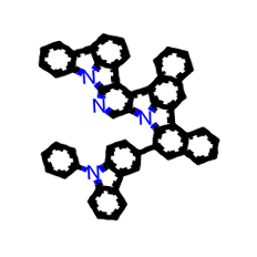 c1ccc(-n2c3ccccc3c3cc(-c4cc5ccccc5c5c6cc7ccccc7c7c8c9c%10cccc%11c%12ccccc%12n(c9ncc8n(c45)c67)c%11%10)ccc32)cc1